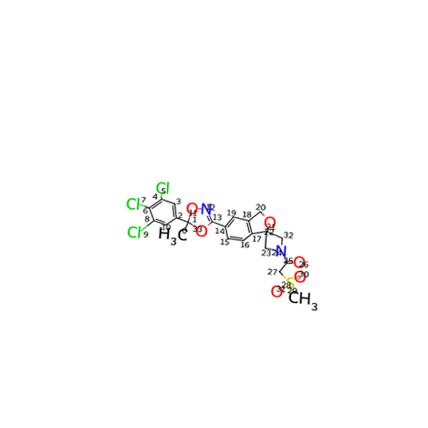 CC1(c2cc(Cl)c(Cl)c(Cl)c2)ON=C(c2ccc3c(c2)COC32CN(C(=O)CS(C)(=O)=O)C2)O1